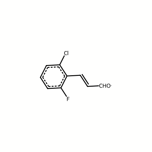 O=[C]C=Cc1c(F)cccc1Cl